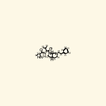 CC[C@H](NC)C(=O)N[C@H](C(=O)N1CC[C@H]2CCN(CCc3ccccc3)C[C@H]21)C(C)C